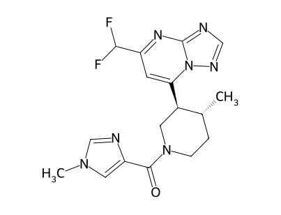 C[C@@H]1CCN(C(=O)c2cn(C)cn2)C[C@H]1c1cc(C(F)F)nc2ncnn12